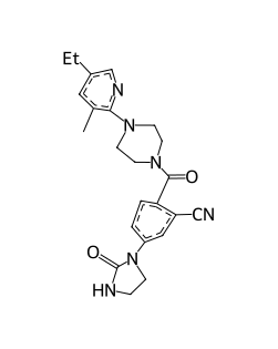 CCc1cnc(N2CCN(C(=O)c3ccc(N4CCNC4=O)cc3C#N)CC2)c(C)c1